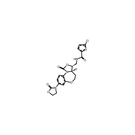 O=C(NC[C@@H]1OC(=O)N2c3ccc(N4CCOC4=O)cc3OCC[C@@H]12)c1ccc(Cl)s1